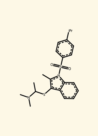 Cc1c(SC(C)N(C)C)c2ccccc2n1S(=O)(=O)c1ccc(C(C)C)cc1